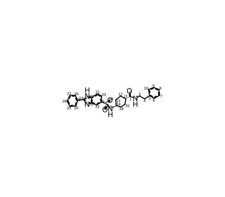 O=C(NCCc1ccccc1)[C@H]1CC[C@H](NS(=O)(=O)c2ccc3[nH]c(-c4ccccc4)nc3c2)CC1